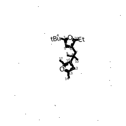 CCc1oc(C(C)(C)C)cc1CC(C)(C)c1cc(C)oc1C